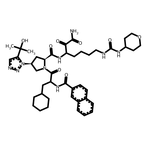 CC(C)(O)c1cnnn1[C@H]1C[C@@H](C(=O)NC(CCCCNC(=O)NC2CCOCC2)C(=O)C(N)=O)N(C(=O)C(CC2CCCCC2)NC(=O)c2ccc3ccccc3c2)C1